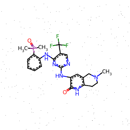 CN1CCc2[nH]c(=O)c(Nc3ncc(C(F)(F)F)c(Nc4ccccc4P(C)(C)=O)n3)cc2C1